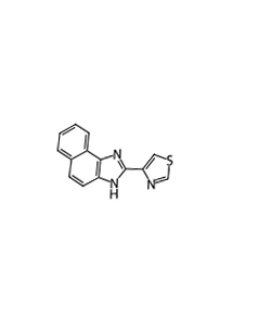 c1ccc2c(c1)ccc1[nH]c(-c3cscn3)nc12